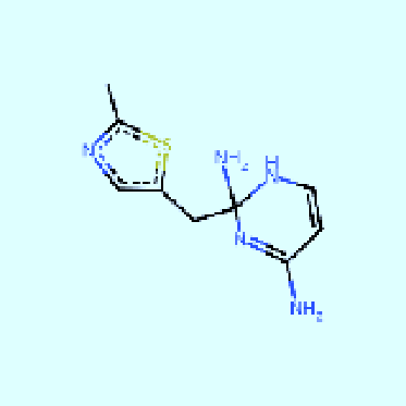 Cc1ncc(CC2(N)N=C(N)C=CN2)s1